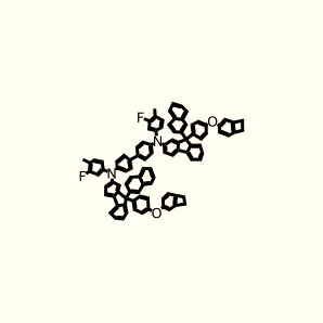 Cc1ccc(N(c2ccc(-c3ccc(N(c4ccc(C)c(F)c4)c4ccc5c(c4)C(c4ccc(Oc6ccc7c(c6)CC7)cc4)(c4ccc6ccccc6c4)c4ccccc4-5)cc3)cc2)c2ccc3c(c2)C(c2ccc(Oc4ccc5c(c4)CC5)cc2)(c2ccc4ccccc4c2)c2ccccc2-3)cc1F